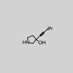 CC(C)C#CC1(O)CCNC1